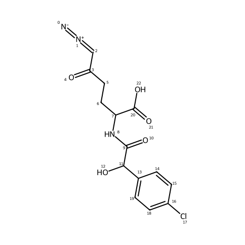 [N-]=[N+]=CC(=O)CCC(NC(=O)C(O)c1ccc(Cl)cc1)C(=O)O